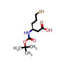 CC(C)(C)OC(=O)N[C@@H](CCCS)CC(=O)O